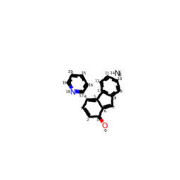 O=C1C=CC=C2C1=Cc1ccccc12.[Ni].c1ccncc1